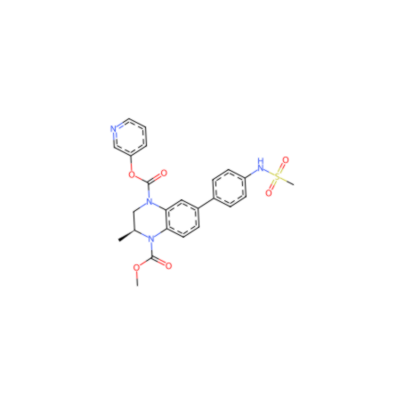 COC(=O)N1c2ccc(-c3ccc(NS(C)(=O)=O)cc3)cc2N(C(=O)Oc2cccnc2)C[C@@H]1C